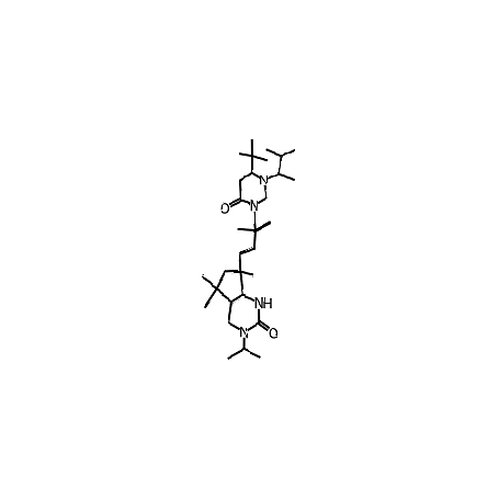 CC(C)C(C)N1CN(C(C)(C)CCC2(C)CC(C)(C)C3CN(C(C)C)C(=O)NC32)C(=O)CC1C(C)(C)C